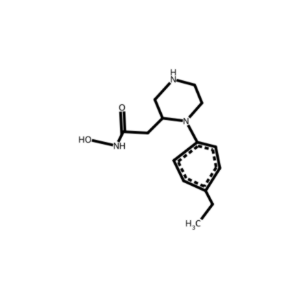 CCc1ccc(N2CCNCC2CC(=O)NO)cc1